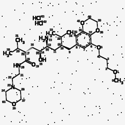 COCCCOc1cc(C[C@@H](C[C@H](N)[C@@H](O)C[C@H](C(=O)NCCN2CCOCC2)C(C)C)C(C)C)cc2c1OCCO2.Cl.Cl